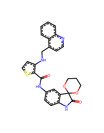 O=C(Nc1ccc2c(c1)C1(OCCCO1)C(=O)N2)c1sccc1NCc1ccnc2ccccc12